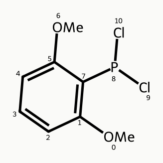 COc1cccc(OC)c1P(Cl)Cl